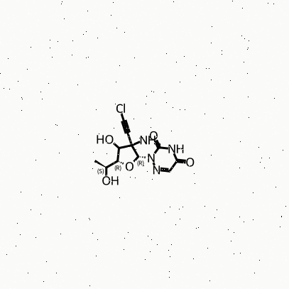 C[C@H](O)[C@H]1O[C@@H](n2ncc(=O)[nH]c2=O)C(N)(C#CCl)C1O